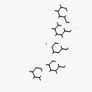 CC1O[C@@H](OC2C(O)C(O)C(CO)O[C@H]2OC2[C@@H](O)C(CO)O[C@@H](OC3C(O)C(CO)OC(OC4C(CO)O[C@@H](C)C(O)C4O)C3O)[C@H]2N(C)C)[C@@H](O)C(O)C1O